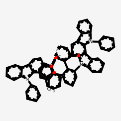 N#Cc1cccc(-n2c3ccccc3c3c2ccc2c4ccccc4n(-c4ccccc4)c23)c1-c1c(-c2c(C(F)(F)F)cccc2C(F)(F)F)cccc1-n1c2ccccc2c2c1ccc1c3ccccc3n(-c3ccccc3)c12